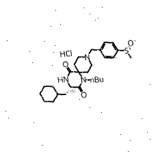 CCCCN1C(=O)[C@H](CC2CCCCC2)NC(=O)C12CCN(Cc1ccc([S+](C)[O-])cc1)CC2.Cl